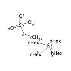 CCCCCC[N+](CCCCCC)(CCCCCC)CCCCCC.CCS(=O)(=O)O